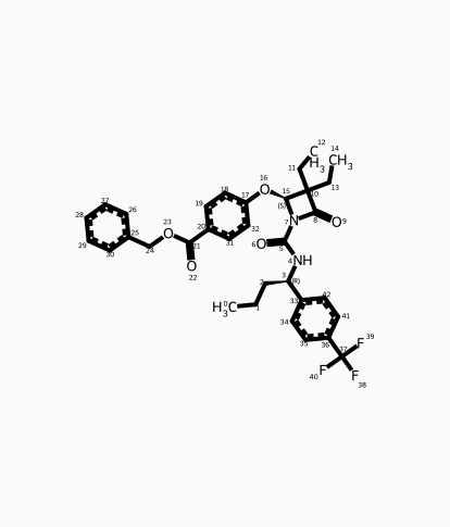 CCC[C@@H](NC(=O)N1C(=O)C(CC)(CC)[C@@H]1Oc1ccc(C(=O)OCc2ccccc2)cc1)c1ccc(C(F)(F)F)cc1